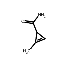 CC1=CC1C(N)=O